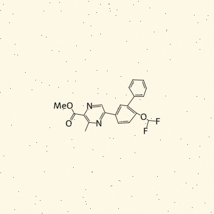 COC(=O)c1ncc(-c2ccc(OC(F)F)c(-c3ccccc3)c2)nc1C